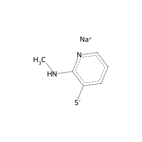 CNc1ncccc1[S-].[Na+]